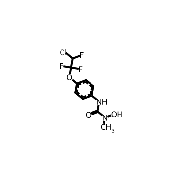 CN(O)C(=O)Nc1ccc(OC(F)(F)C(F)Cl)cc1